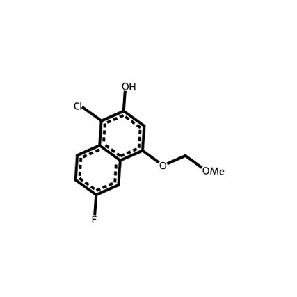 COCOc1cc(O)c(Cl)c2ccc(F)cc12